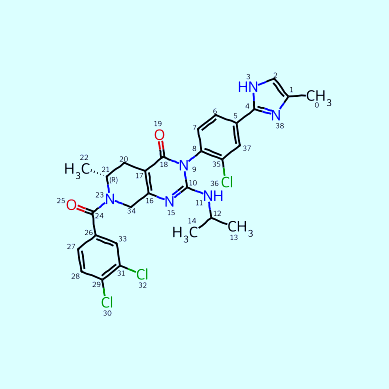 Cc1c[nH]c(-c2ccc(-n3c(NC(C)C)nc4c(c3=O)C[C@@H](C)N(C(=O)c3ccc(Cl)c(Cl)c3)C4)c(Cl)c2)n1